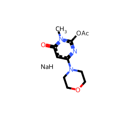 CC(=O)Oc1nc(N2CCOCC2)cc(=O)n1C.[NaH]